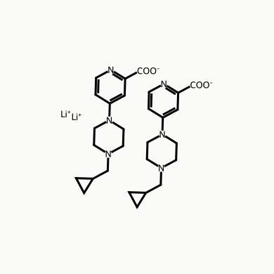 O=C([O-])c1cc(N2CCN(CC3CC3)CC2)ccn1.O=C([O-])c1cc(N2CCN(CC3CC3)CC2)ccn1.[Li+].[Li+]